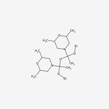 CCOC(C)(OC(C)(OCC)N1CC(C)OC(C)C1)N1CC(C)OC(C)C1